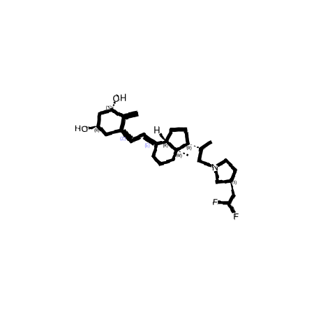 C=C1/C(=C\C=C2/CCC[C@]3(C)[C@@H](C(C)CN4CC[C@@H](CC(F)F)C4)CC[C@@H]23)C[C@@H](O)C[C@@H]1O